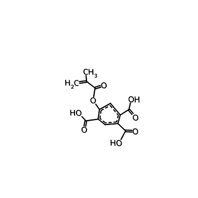 C=C(C)C(=O)Oc1cc(C(=O)O)c(C(=O)O)cc1C(=O)O